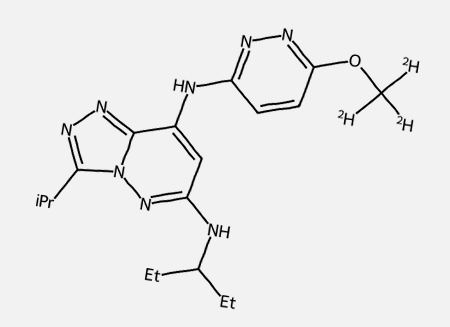 [2H]C([2H])([2H])Oc1ccc(Nc2cc(NC(CC)CC)nn3c(C(C)C)nnc23)nn1